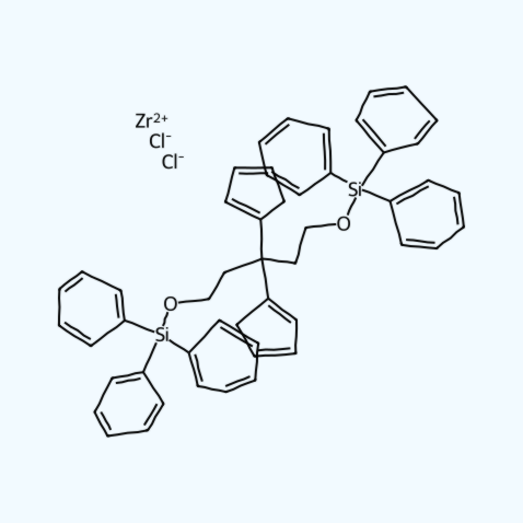 C1=CCC(C(CCO[Si](c2ccccc2)(c2ccccc2)c2ccccc2)(CCO[Si](c2ccccc2)(c2ccccc2)c2ccccc2)C2=CC=CC2)=C1.[Cl-].[Cl-].[Zr+2]